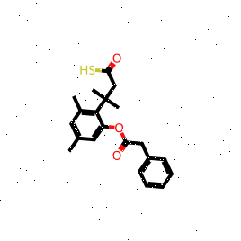 Cc1cc(C)c(C(C)(C)CC(=O)S)c(OC(=O)Cc2ccccc2)c1